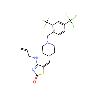 C=CCNC1=NC(=O)SC1=CC1CCN(Cc2ccc(C(F)(F)F)cc2C(F)(F)F)CC1